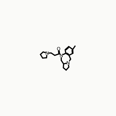 Cc1ccc2c(c1)CN1CCCC1CN2C(=O)CCN1CCCC1